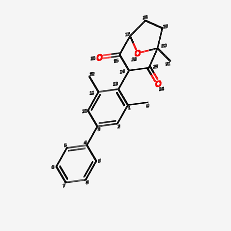 Cc1cc(-c2ccccc2)cc(C)c1C1C(=O)C2CCC(C)(O2)C1=O